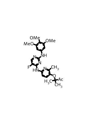 COc1cc(Nc2ncc(F)c(Nc3ccc(OC(C)(C)C(C)=O)c(C)n3)n2)cc(OC)c1OC